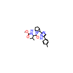 COC(=O)NC(C(=O)N1C2CCC(C2)C1c1ncc(-c2ccc(C)cc2)[nH]1)C(C)C